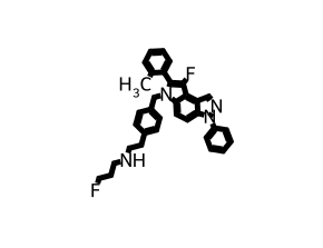 Cc1ccccc1-c1c(F)c2c3cnn(-c4ccccc4)c3ccc2n1Cc1ccc(CCNCCCF)cc1